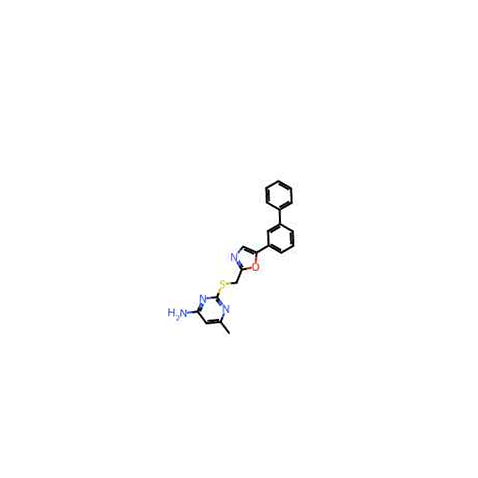 Cc1cc(N)nc(SCc2ncc(-c3cccc(-c4ccccc4)c3)o2)n1